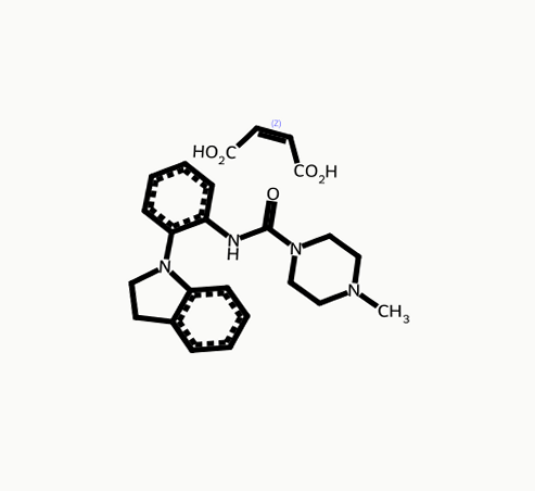 CN1CCN(C(=O)Nc2ccccc2N2CCc3ccccc32)CC1.O=C(O)/C=C\C(=O)O